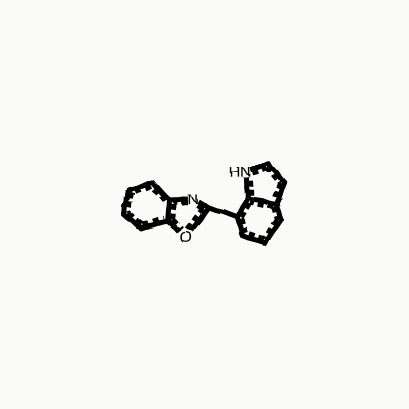 c1cc(-c2nc3ccccc3o2)c2[nH]ccc2c1